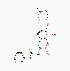 CN1CCC(Oc2ccc3cc(NC(=O)Nc4ccccc4)c(=O)oc3c2O)CC1